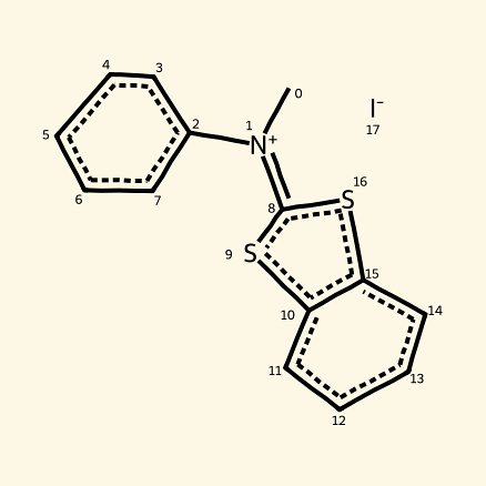 C[N+](c1ccccc1)=c1sc2ccccc2s1.[I-]